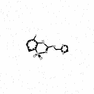 O=S1(=O)N=C(NCc2nccs2)Nc2c(I)cccc21